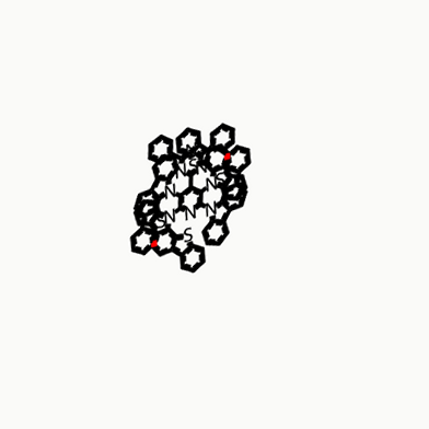 c1ccc(-c2nc(-c3ccccc3)nc(-c3c(-n4c5ccccc5c5ccc6c7ccccc7sc6c54)c(-n4c5ccccc5c5ccc6c7ccccc7sc6c54)nc(-n4c5ccccc5c5ccc6c7ccccc7sc6c54)c3-n3c4ccccc4c4ccc5c6ccccc6sc5c43)n2)cc1